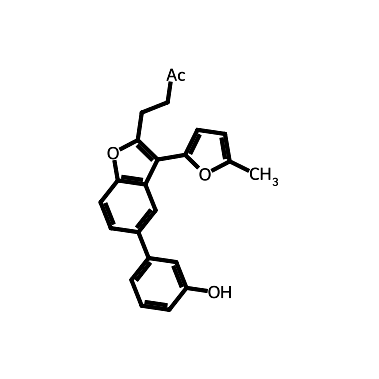 CC(=O)CCc1oc2ccc(-c3cccc(O)c3)cc2c1-c1ccc(C)o1